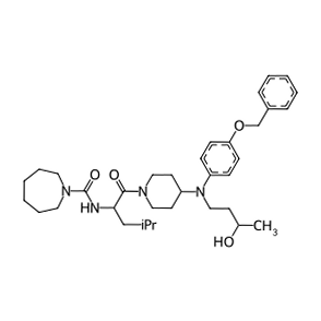 CC(C)CC(NC(=O)N1CCCCCC1)C(=O)N1CCC(N(CCC(C)O)c2ccc(OCc3ccccc3)cc2)CC1